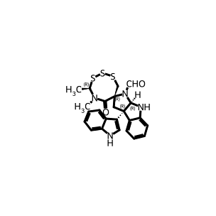 C[C@H]1SSSC[C@@]2(C[C@]3(c4c[nH]c5ccccc45)c4ccccc4N[C@@H]3N2C=O)C(=O)N1C